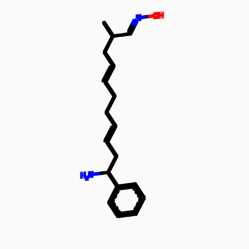 CC(C=NO)CC=CCCC=CCC(N)c1ccccc1